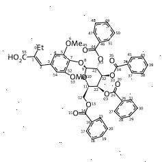 CCC(=Cc1cc(OC)c(O[C@@H]2O[C@H](COC(=O)c3ccccc3)[C@H](OC(=O)c3ccccc3)[C@H](OC(=O)c3ccccc3)[C@H]2OC(=O)c2ccccc2)c(OC)c1)C(=O)O